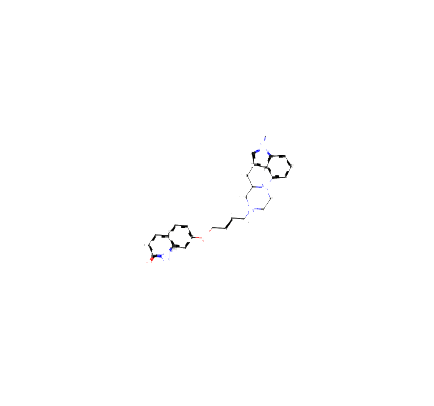 Cn1cc2c3c(cccc31)N1CCN(C/C=C/COc3ccc4ccc(=O)[nH]c4c3)CC1C2